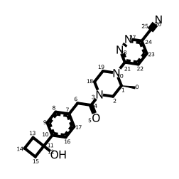 C[C@H]1CN(C(=O)Cc2ccc(C3(O)CCC3)cc2)CCN1c1ccc(C#N)nn1